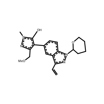 C=Cc1nn(C2CCCCO2)c2ccc(-c3c(COC)nn(C)c3O)cc12